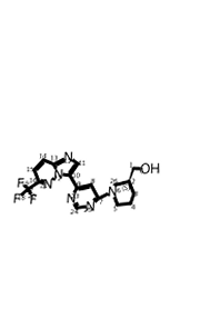 OC[C@H]1CCCN(c2cc(-c3cnc4ccc(C(F)(F)F)nn34)ncn2)C1